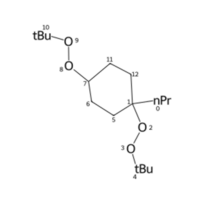 CCCC1(OOC(C)(C)C)CCC(OOC(C)(C)C)CC1